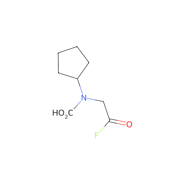 O=C(F)CN(C(=O)O)C1CCCC1